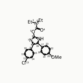 CCN(CC)C(=O)Oc1nc(-c2ccc(Cl)cc2)c(-c2ccc(OC)cc2)[nH]1